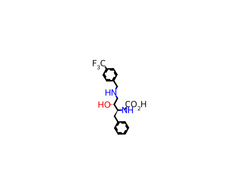 O=C(O)N[C@@H](Cc1ccccc1)[C@H](O)CNCc1ccc(C(F)(F)F)cc1